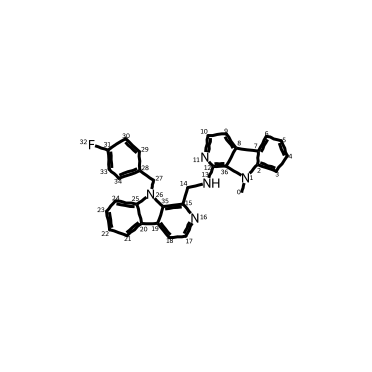 Cn1c2ccccc2c2ccnc(NCc3nccc4c5ccccc5n(Cc5ccc(F)cc5)c34)c21